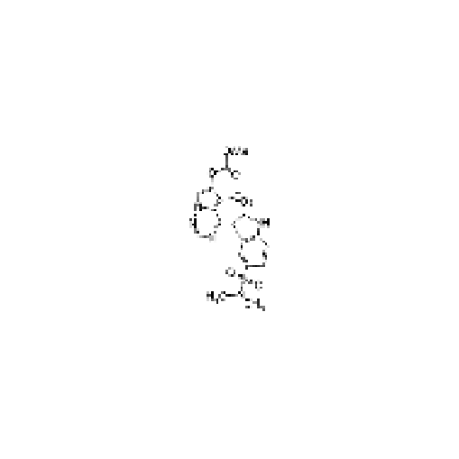 COC(=O)Oc1cn2ncnc(C3C(=O)Nc4ccc(S(=O)(=O)N(C)C)cc43)c2c1C